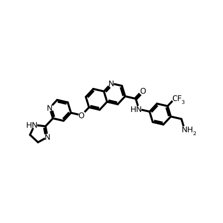 NCc1ccc(NC(=O)c2cnc3ccc(Oc4ccnc(C5=NCCN5)c4)cc3c2)cc1C(F)(F)F